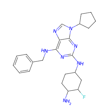 NC1CCC(Nc2nc(NCc3ccccc3)c3ncn(C4CCCC4)c3n2)CC1F